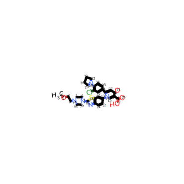 COCCN1CCN(c2nc3ccc(-n4cc(C(=O)O)c(=O)cc4-c4ccc(N5CCCC5)c(Cl)c4)cc3s2)CC1